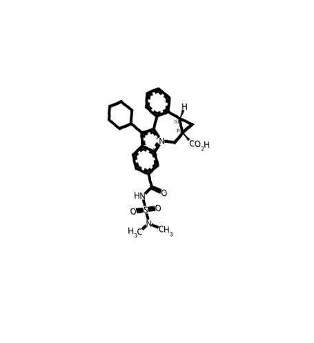 CN(C)S(=O)(=O)NC(=O)c1ccc2c(C3CCCCC3)c3n(c2c1)C[C@@]1(C(=O)O)C[C@H]1c1ccccc1-3